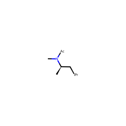 CC(=O)N(C)[C@H](C)CC(C)C